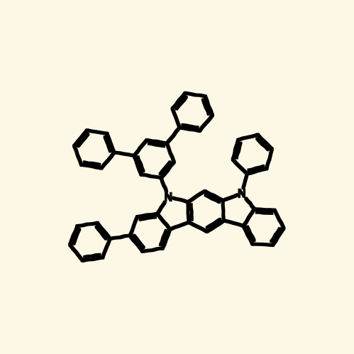 c1ccc(-c2cc(-c3ccccc3)cc(-n3c4cc(-c5ccccc5)ccc4c4cc5c6ccccc6n(-c6ccccc6)c5cc43)c2)cc1